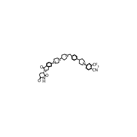 N#Cc1ccc(N2CCC(c3ccc(CN4CCC(N5CCN(c6ccc7c(c6)CN(C6CCC(=O)NC6=O)C7=O)CC5)CC4)cc3)CC2)cc1C(F)(F)F